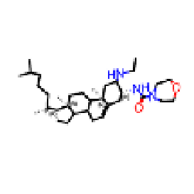 CCNC1C[C@@]2(C)C(=CCC3C2CC[C@@]2(C)C3CC[C@@H]2[C@H](C)CCCC(C)C)C[C@H]1NC(=O)N1CCOCC1